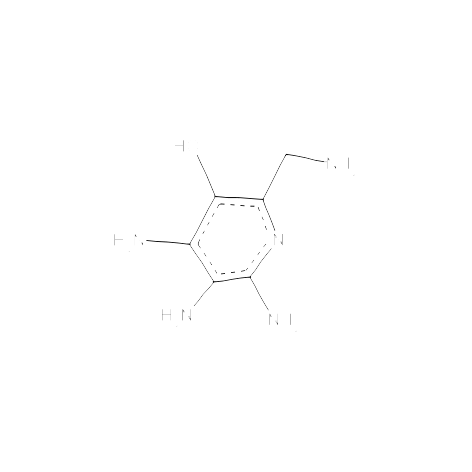 NCc1nc(N)c(N)c(N)c1O